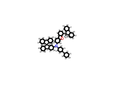 CC1(c2cccc3c2oc2cc(N(c4ccc(-c5ccccc5)cc4)c4ccc5c(c4)C4(c6ccccc6-c6ccccc64)c4ccccc4-5)ccc23)c2ccccc2-c2ccccc21